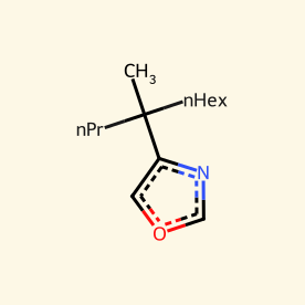 CCCCCCC(C)(CCC)c1cocn1